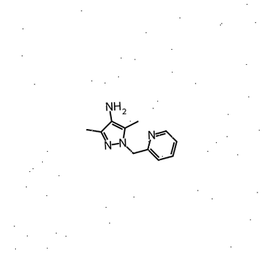 Cc1nn(Cc2ccccn2)c(C)c1N